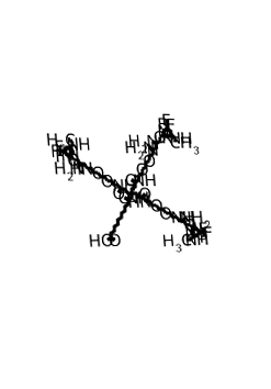 CNc1cc(C(F)(F)F)nc(OC/C(N)=C/NCCOCCOCCNC(=O)CCC(CCC(=O)NCCOCCOCCN/C=C(\N)COc2nc(NC)cc(C(F)(F)F)n2)(CCC(=O)NCCOCCOCCN(N)/C=C(\N)COc2nc(NC)cc(C(F)(F)F)n2)NC(=O)CCCCCCCCCCC(=O)O)n1